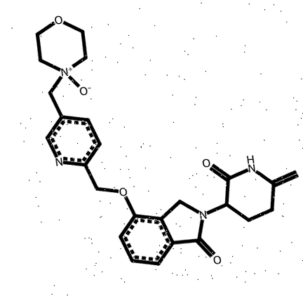 C=C1CCC(N2Cc3c(OCc4ccc(C[N+]5([O-])CCOCC5)cn4)cccc3C2=O)C(=O)N1